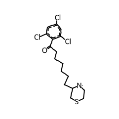 O=C(CCCCCCC1CSCC[N]1)c1c(Cl)cc(Cl)cc1Cl